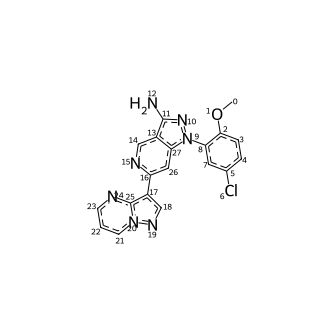 COc1ccc(Cl)cc1-n1nc(N)c2cnc(-c3cnn4cccnc34)cc21